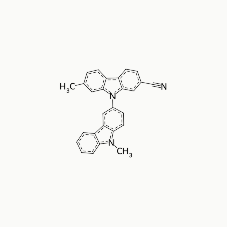 Cc1ccc2c3ccc(C#N)cc3n(-c3ccc4c(c3)c3ccccc3n4C)c2c1